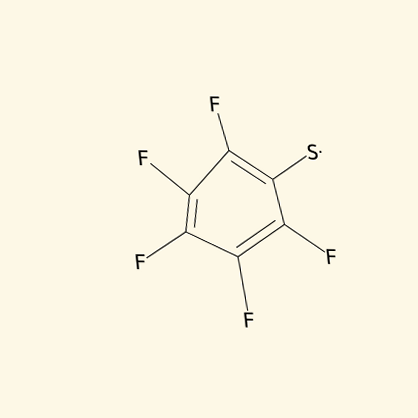 Fc1c(F)c(F)c([S])c(F)c1F